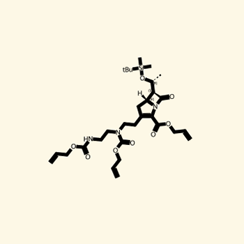 C=CCOC(=O)NCCN(CCC1=C(C(=O)OCC=C)N2C(=O)[C@H]([C@@H](C)O[Si](C)(C)C(C)(C)C)[C@H]2C1)C(=O)OCC=C